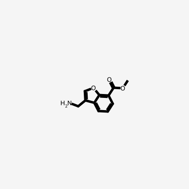 COC(=O)c1cccc2c(CN)coc12